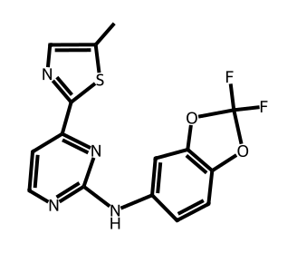 Cc1cnc(-c2ccnc(Nc3ccc4c(c3)OC(F)(F)O4)n2)s1